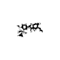 C=CCC1=CC2(OC)C(=CC1=O)OC(c1ccc(OC)c([N+](O)(C=O)C3CC3)c1)C2C